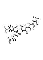 C=C(C)C(=O)Oc1cccc(-c2ccc(-c3ccc(OC(=O)C(=C)C)c4c3CCC4OC(=O)C(=C)C)cc2C)c1